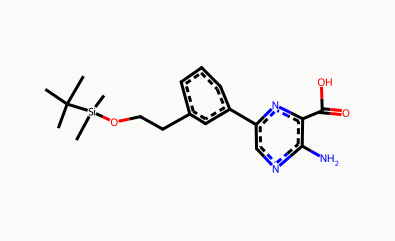 CC(C)(C)[Si](C)(C)OCCc1cccc(-c2cnc(N)c(C(=O)O)n2)c1